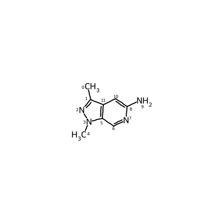 Cc1nn(C)c2cnc(N)cc12